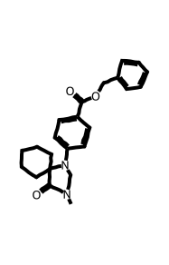 CN1CN(c2ccc(C(=O)OCc3ccccc3)cc2)C2(CCCCC2)C1=O